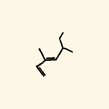 C=CC(C)=CC(C)CC